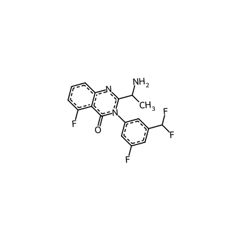 CC(N)c1nc2cccc(F)c2c(=O)n1-c1cc(F)cc(C(F)F)c1